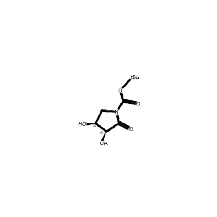 CC(C)(C)OC(=O)N1C[C@H](O)[C@H](O)C1=O